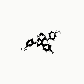 Cc1cccc(-n2cc(-c3ccc(F)cc3)c3c(NC4CCN(C)CC4)ncnc32)c1